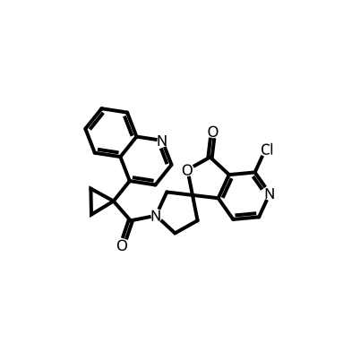 O=C1OC2(CCN(C(=O)C3(c4ccnc5ccccc45)CC3)C2)c2ccnc(Cl)c21